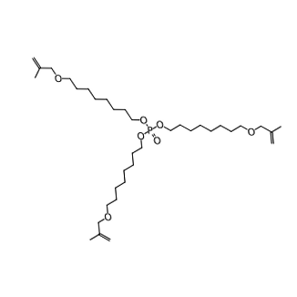 C=C(C)COCCCCCCCCOP(=O)(OCCCCCCCCOCC(=C)C)OCCCCCCCCOCC(=C)C